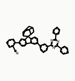 N#Cc1ccccc1-c1ccc2c(c1)C1(c3ccc(-c4cccc(-c5nc(-c6ccccc6)nc(-c6ccccc6)n5)c4)cc3-2)C2CC3CC(C2)CC1C3